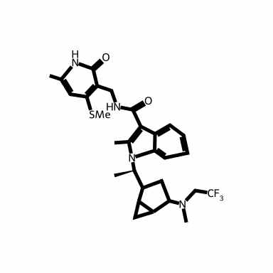 CSc1cc(C)[nH]c(=O)c1CNC(=O)c1c(C)n([C@H](C)C2CC(N(C)CC(F)(F)F)C3CC32)c2ccccc12